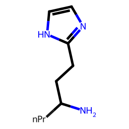 CCCC(N)CCc1ncc[nH]1